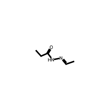 CC=NNC(=O)CC